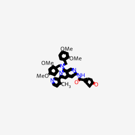 COc1ccc(CN(Cc2ccc(OC)cc2OC)c2nc(-c3cnccc3C)cc3cc(NC(=O)C4C5CC(=O)CC54)ncc23)c(OC)c1